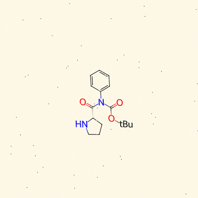 CC(C)(C)OC(=O)N(C(=O)[C@@H]1CCCN1)c1ccccc1